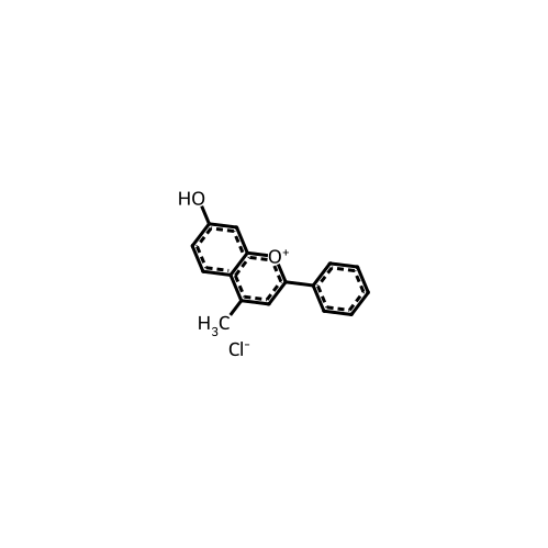 Cc1cc(-c2ccccc2)[o+]c2cc(O)ccc12.[Cl-]